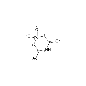 CC(=O)C1CS(=O)(=O)CC(=O)N1